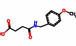 COc1ccc(CNC(=O)CCC(=O)O)cc1